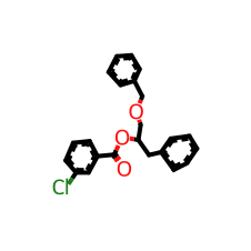 O=C(OC(COCc1ccccc1)Cc1ccccc1)c1cccc(Cl)c1